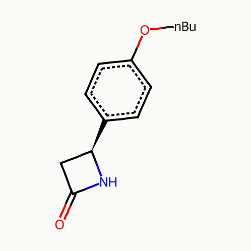 CCCCOc1ccc([C@@H]2CC(=O)N2)cc1